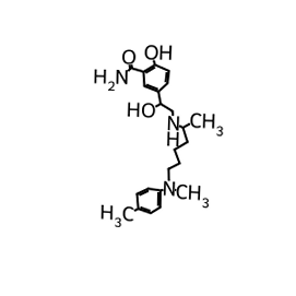 Cc1ccc(N(C)CCCCC(C)NCC(O)c2ccc(O)c(C(N)=O)c2)cc1